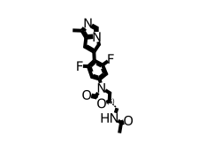 CC(=O)NC[C@H]1CN(c2cc(F)c(C3=Cc4c(C)ncn4C3)c(F)c2)C(=O)O1